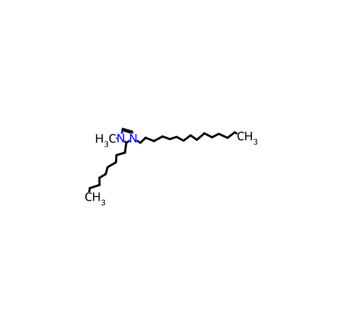 CCCCCCCCCCCCCCCN1C=CN(C)C1CCCCCCCCC